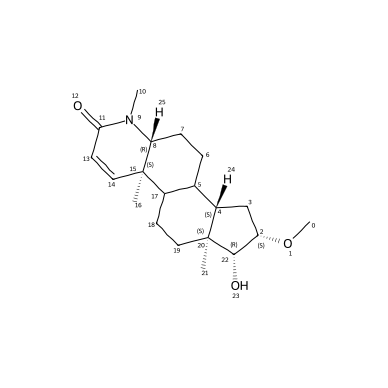 CO[C@H]1C[C@H]2C3CC[C@H]4N(C)C(=O)C=C[C@]4(C)C3CC[C@]2(C)[C@H]1O